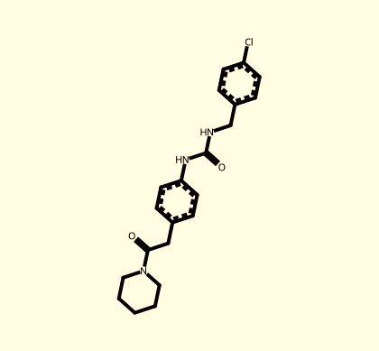 O=C(NCc1ccc(Cl)cc1)Nc1ccc(CC(=O)N2CCCCC2)cc1